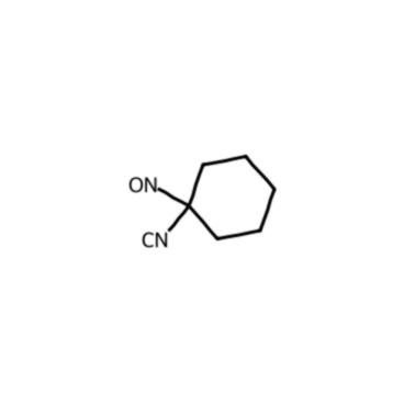 [C-]#[N+]C1(N=O)CCCCC1